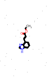 CCOC(=O)/C=C/c1cccc2[nH]cnc12